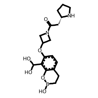 O=C(C[C@@H]1CCCN1)N1CC(Oc2ccc3c(c2C(O)O)OB(O)CC3)C1